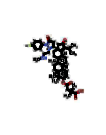 CNCCn1c([C@@]23CC[C@]4(C)[C@H](CC[C@@H]5[C@@]6(C)CC[C@H](OC(=O)CC(C)(C)C(=O)O)C(C)(C)[C@@H]6CC[C@]54C)C2=C(C(C)C)C(=O)C3)cc(=O)n1-c1ccc(F)cc1